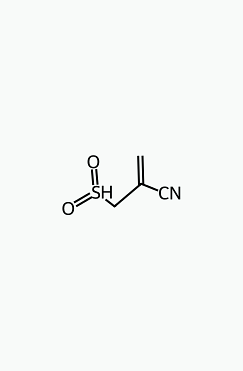 C=C(C#N)C[SH](=O)=O